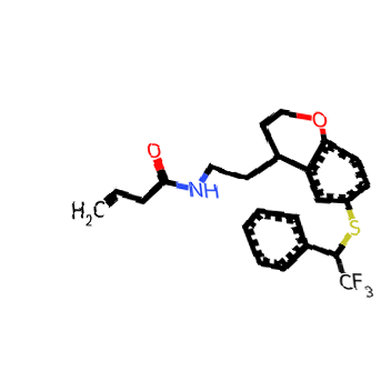 C=CCC(=O)NCCC1CCOc2ccc(SC(c3ccccc3)C(F)(F)F)cc21